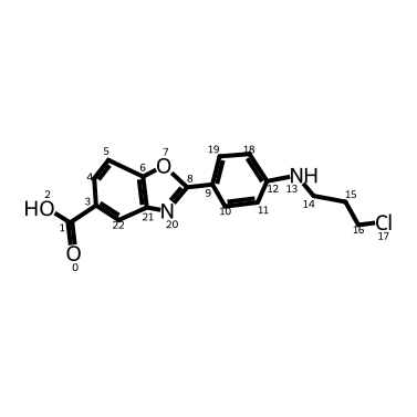 O=C(O)c1ccc2oc(-c3ccc(NCCCCl)cc3)nc2c1